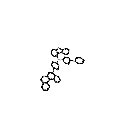 c1ccc(-c2ccc(N(c3ccc(-c4cc5ccc6ccccc6c5c5ccccc45)cc3)c3cccc4sc5ccccc5c34)cc2)cc1